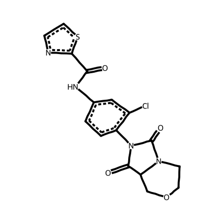 O=C(Nc1ccc(N2C(=O)C3COCCN3C2=O)c(Cl)c1)c1nccs1